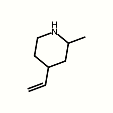 C=CC1CCNC(C)C1